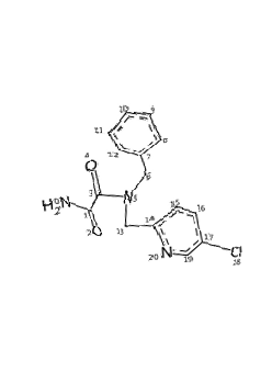 NC(=O)C(=O)N(Cc1ccccc1)Cc1ccc(Cl)cn1